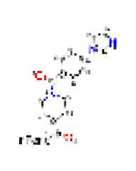 CCCCCC(=O)C1CCN(C(=O)c2ccc(-n3ccnc3)cc2)CC1